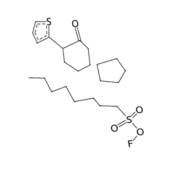 C1CCCC1.CCCCCCCCS(=O)(=O)OF.O=C1CCCCC1c1cccs1